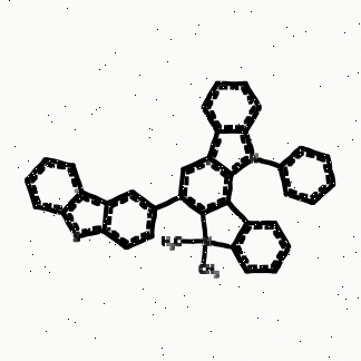 C[Si]1(C)c2ccccc2-c2c1c(-c1ccc3sc4ccccc4c3c1)cc1c3ccccc3n(-c3ccccc3)c21